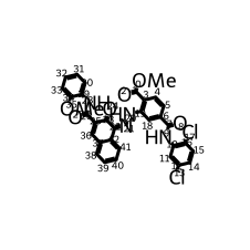 COC(=O)c1ccc(C(=O)Nc2cc(Cl)ccc2Cl)cc1N/N=C1\C(=O)C(C(=O)Nc2ccccc2OC)=Cc2ccccc21